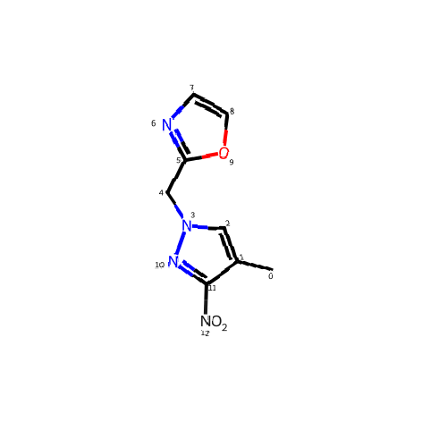 Cc1cn(Cc2ncco2)nc1[N+](=O)[O-]